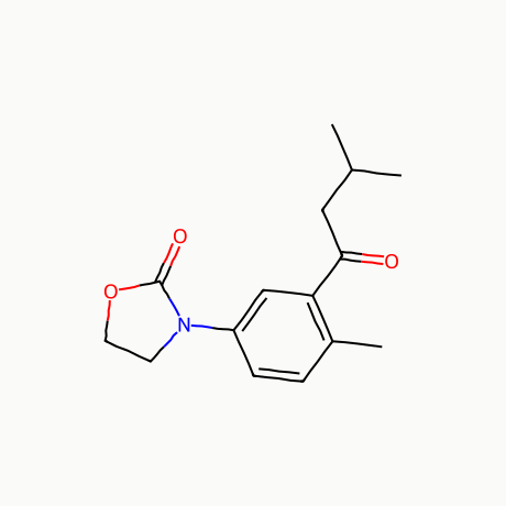 Cc1ccc(N2CCOC2=O)cc1C(=O)CC(C)C